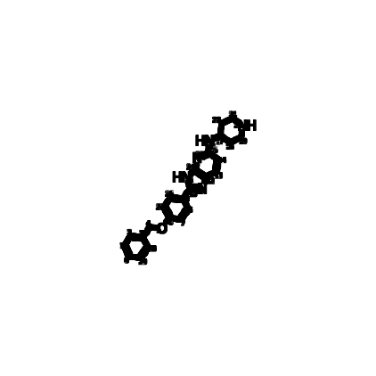 c1ccc(COc2ccc(-c3nc4ccc(NC5CCNCC5)nc4[nH]3)cc2)cc1